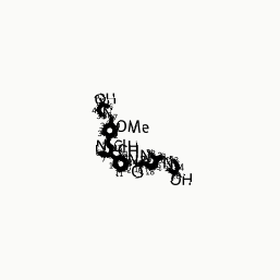 COc1cc(-c2nccc(-c3cccc(NC(=O)c4ccc(CN5CC[C@@H](O)C5)cn4)c3C)c2Cl)ccc1CN1CC[C@@H](O)C1